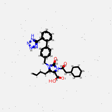 CCCCc1c(C(=O)O)n(C(=O)CC2CCCCC2)c(=O)n1Cc1ccc(-c2ccccc2-c2nnn[nH]2)cc1